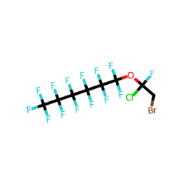 FC(Cl)(CBr)OC(F)(F)C(F)(F)C(F)(F)C(F)(F)C(F)(F)C(F)(F)F